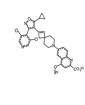 CC(C)Oc1cc(C(=O)O)nc2ccc(N3CCC4(C=C(c5c(-c6c(Cl)cncc6Cl)noc5C5CC5)C4)CC3)cc12